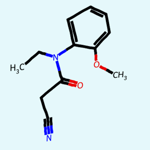 CCN(C(=O)CC#N)c1ccccc1OC